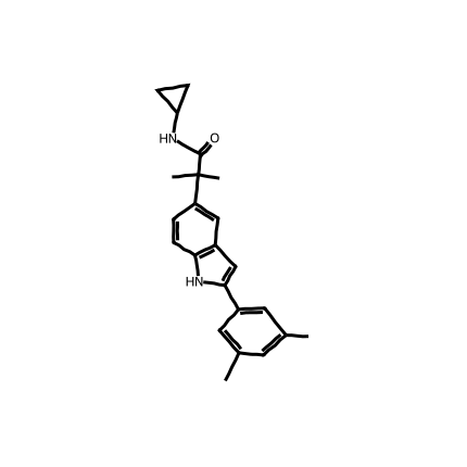 Cc1cc(C)cc(-c2cc3cc(C(C)(C)C(=O)NC4CC4)ccc3[nH]2)c1